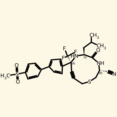 CC(C)C[C@@H]1N[C@@](c2ccc(-c3ccc(S(C)(=O)=O)cc3)cc2)(C(F)(F)F)C#CCSC[C@@H](C#N)NC1=O